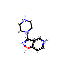 c1cc2onc(N3CCNCC3)c2cn1